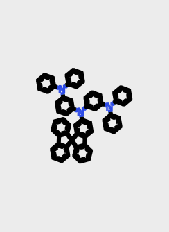 c1ccc(N(c2ccccc2)c2cccc(N(c3cccc(N(c4ccccc4)c4ccccc4)c3)c3ccc4c(c3)C3(c5ccccc5-c5ccccc53)c3ccccc3-4)c2)cc1